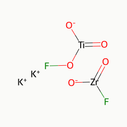 [K+].[K+].[O]=[Ti]([O-])[O]F.[O]=[Zr]([O-])[F]